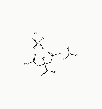 O=C(O)CC(O)(CC(=O)O)C(=O)O.[Cl][Co]([Cl])[Cl].[K+].[O]=[Mn](=[O])(=[O])[O-]